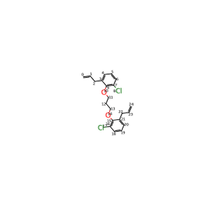 C=CCc1cccc(Cl)c1OCCCOc1c(Cl)cccc1CC=C